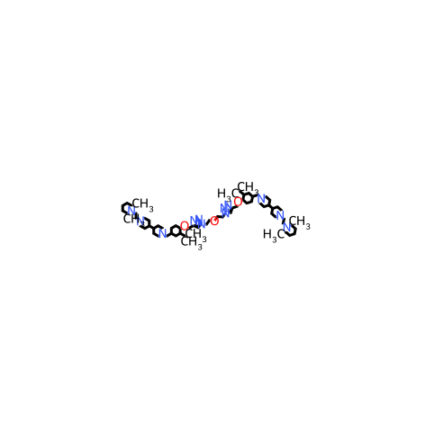 CC(C)C1CC(CN2CCC(C3CCN(CCN4C(C)CCCC4C)CC3)CC2)CCC1OCc1cn(CCOCCn2cc(COC3CCC(CN4CCC(C5CCN(CCN6C(C)CCCC6C)CC5)CC4)CC3C(C)C)nn2)nn1